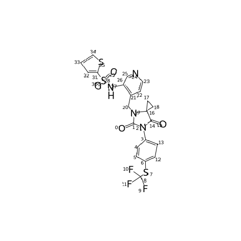 O=C1N(c2ccc(SC(F)(F)F)cc2)C(=O)C2(CC2)N1Cc1ccncc1NS(=O)(=O)c1cccs1